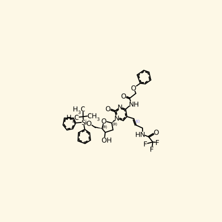 CC(C)(C)[Si](OC[C@H]1O[C@@H](n2cc(/C=C/CNC(=O)C(F)(F)F)c(NC(=O)COc3ccccc3)nc2=O)CC1O)(c1ccccc1)c1ccccc1